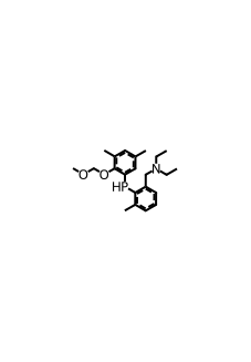 CCN(CC)Cc1cccc(C)c1Pc1cc(C)cc(C)c1OCOC